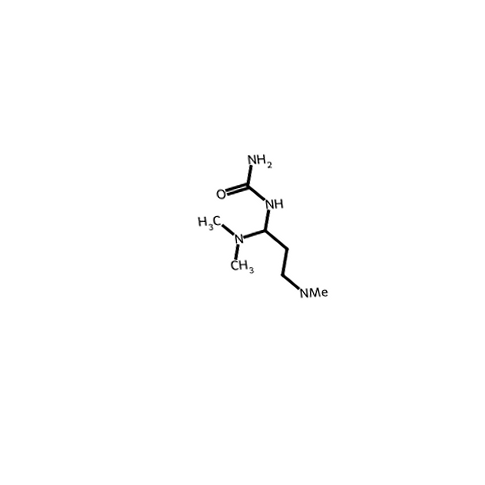 CNCCC(NC(N)=O)N(C)C